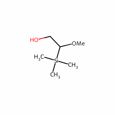 COC(CO)[Si](C)(C)C